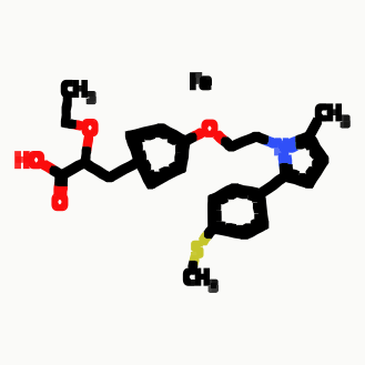 CCOC(Cc1ccc(OCCn2c(C)ccc2-c2ccc(SC)cc2)cc1)C(=O)O.[Fe]